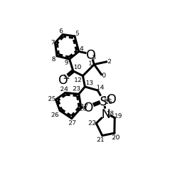 CC1(C)Oc2ccccc2C(=O)C1C(CS(=O)(=O)N1CCCC1)c1ccccc1